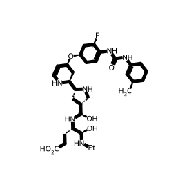 CCN[C@H](O)[C@H](CCC(=O)O)N[C@H](O)[C@H]1CN[C@@H]([C@@H]2C[C@H](O[C@@H]3CC=C(NC(=O)NC4=C[C@H](C)CCC4)[C@H](F)C3)C=CN2)C1